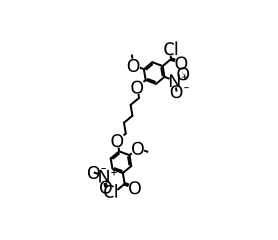 COc1cc(C(=O)Cl)c([N+](=O)[O-])cc1OCCCCCOc1cc([N+](=O)[O-])c(C(=O)Cl)cc1OC